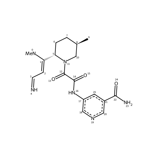 CN/C(=C\C=N)[C@@H]1CC[C@@H](C)CN1C(=O)C(=O)Nc1cncc(C(N)=O)c1